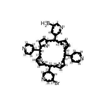 Bc1cncc(-c2c3nc(c(-c4ccncc4)c4ccc([nH]4)c(-c4cncc(Br)c4)c4nc(c(-c5ccncc5)c5ccc2[nH]5)C=C4)C=C3)c1